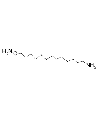 NCCCCCCCCCCCCCON